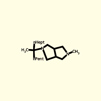 CCCCCCCC(C)(CCCCC)N1CC2CN(C)CC2C1